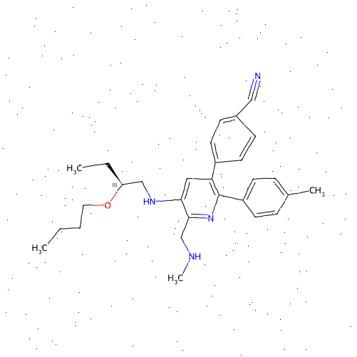 CCCCO[C@@H](CC)CNc1cc(-c2ccc(C#N)cc2)c(-c2ccc(C)cc2)nc1CNC